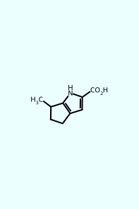 CC1CCc2cc(C(=O)O)[nH]c21